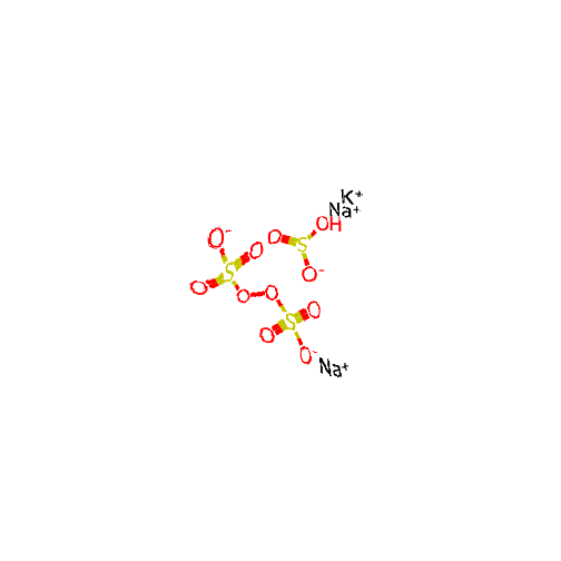 O=S(=O)([O-])OOS(=O)(=O)[O-].O=S([O-])O.[K+].[Na+].[Na+]